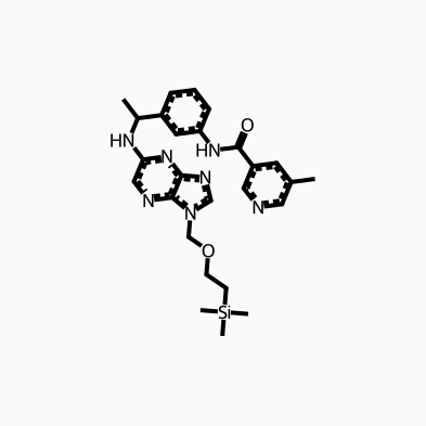 Cc1cncc(C(=O)Nc2cccc(C(C)Nc3cnc4c(ncn4COCC[Si](C)(C)C)n3)c2)c1